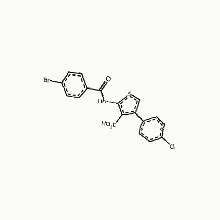 O=C(Nc1scc(-c2ccc(Cl)cc2)c1C(=O)O)c1ccc(Br)cc1